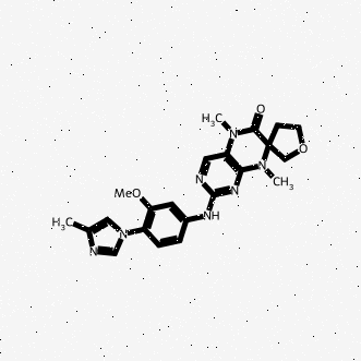 COc1cc(Nc2ncc3c(n2)N(C)C2(CCOC2)C(=O)N3C)ccc1-n1cnc(C)c1